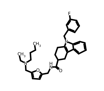 CCCCN(CC)Cc1ccc(CNC(=O)C2CCc3c(c4ccccc4n3Cc3cccc(F)c3)C2)o1